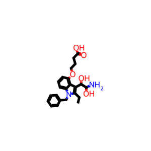 CCc1c(C(O)C(N)O)c2c(OCCCC(=O)O)cccc2n1Cc1ccccc1